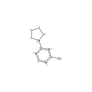 Clc1ncnc(N2CCCC2)n1